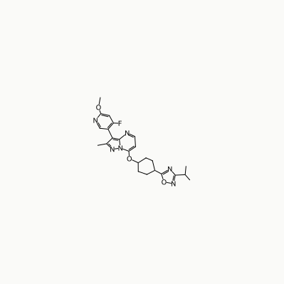 COc1cc(F)c(-c2c(C)nn3c(OC4CCC(c5nc(C(C)C)no5)CC4)ccnc23)cn1